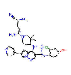 CC1(C)CN(/C(N)=C/C=C(\N)C#N)CCC1Nc1c(/C(N)=N/c2ccc(O)cc2Cl)cnn2cc(-c3ccncc3)cc12